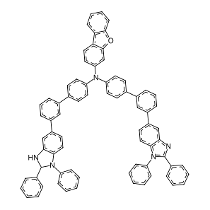 c1ccc(-c2nc3cc(-c4cccc(-c5ccc(N(c6ccc(-c7cccc(-c8ccc9c(c8)NC(c8ccccc8)N9c8ccccc8)c7)cc6)c6ccc7c(c6)oc6ccccc67)cc5)c4)ccc3n2-c2ccccc2)cc1